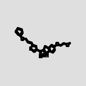 COCCOc1ccc2c(c1)Cc1c(-c3csc(/C=C/COc4ccccc4)c3)n[nH]c1-2